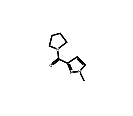 Cn1ccc(C(=O)N2CCCC2)n1